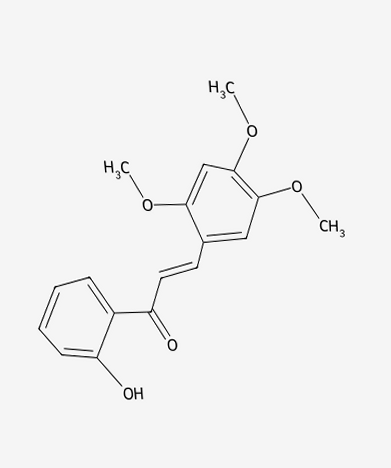 COc1cc(OC)c(OC)cc1C=CC(=O)c1ccccc1O